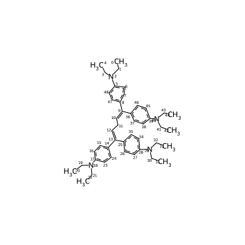 CCN(CC)c1ccc(C(=CCC=C(c2ccc(N(CC)CC)cc2)c2ccc(N(CC)CC)cc2)c2ccc(N(CC)CC)cc2)cc1